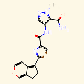 Cn1ncc(NC(=O)c2csc(C3=C4C=COC=C4CC3)n2)c1C(N)=O